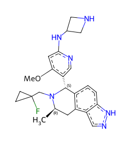 COc1cc(NC2CNC2)ncc1[C@@H]1c2ccc3[nH]ncc3c2C[C@@H](C)N1CC1(F)CC1